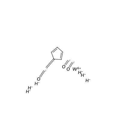 C=C1C=CC=C1.[C]=O.[C]=O.[C]=O.[H-].[H-].[H-].[H-].[H-].[H-].[W+6]